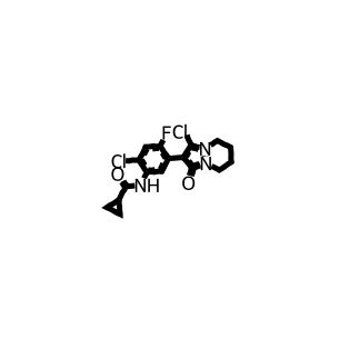 O=C(Nc1cc(-c2c(Cl)n3n(c2=O)CCCC3)c(F)cc1Cl)C1CC1